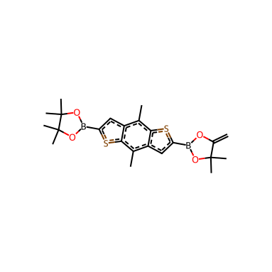 C=C1OB(c2cc3c(C)c4sc(B5OC(C)(C)C(C)(C)O5)cc4c(C)c3s2)OC1(C)C